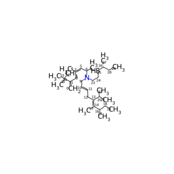 C=C(C/C(C)=C\C(C)N(C/C=C/C/C(=C(\C)C(C)CC)C(C)C)CCB[C@H](C)CC)C(C)(C)C